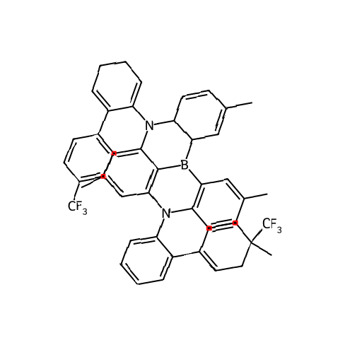 CC1=CC2B3c4cc(C)ccc4N(c4ccccc4C4=CCC(C)(C(F)(F)F)C=C4)c4cc(C)cc(c43)N(C3=CCCC=C3c3ccc(C(F)(F)F)cc3)C2C=C1